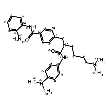 CN(C)CCCCN(Cc1ccc(C(=O)Nc2ccccc2N)cc1)C(=O)Nc1ccc(N(C)C)cc1